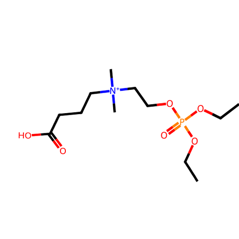 CCOP(=O)(OCC)OCC[N+](C)(C)CCCC(=O)O